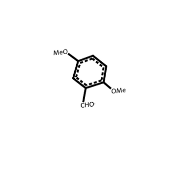 COc1ccc(OC)c([C]=O)c1